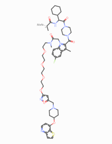 CN[C@@H](C)C(=O)NC(C(=O)N1CCN(C(=O)c2c(C)c3cc(F)ccc3n2CC(=O)N(C)CCOCCOCCOCCOc2cc(CN3CCC(Oc4ccnc5ccsc45)CC3)on2)CC1)C1CCCCC1